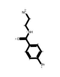 CC(C)c1ccc(C(=O)NCCC#N)cc1